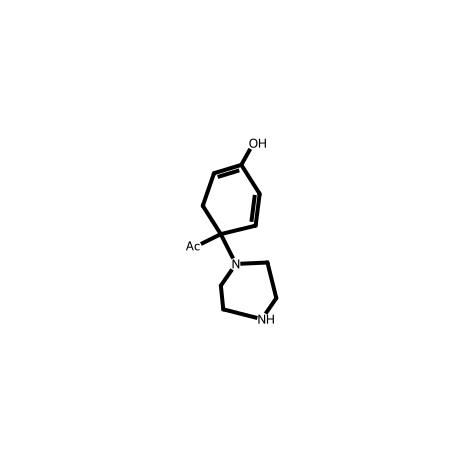 CC(=O)C1(N2CCNCC2)C=CC(O)=CC1